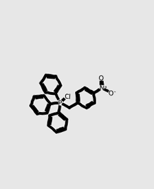 O=[N+]([O-])c1ccc(CP(Cl)(c2ccccc2)(c2ccccc2)c2ccccc2)cc1